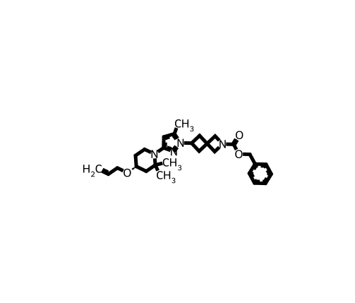 C=CCO[C@@H]1CCN(c2cc(C)n(C3CC4(C3)CN(C(=O)OCc3ccccc3)C4)n2)C(C)(C)C1